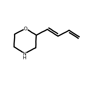 C=C/C=C/C1CNCCO1